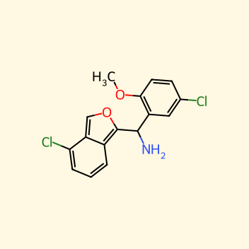 COc1ccc(Cl)cc1C(N)c1occ2c(Cl)cccc12